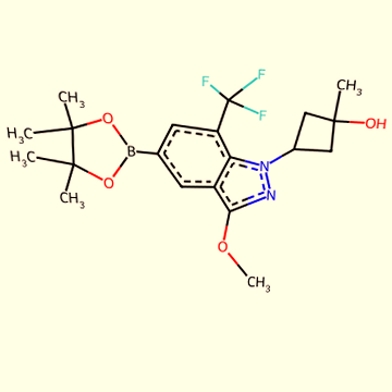 COc1nn(C2CC(C)(O)C2)c2c(C(F)(F)F)cc(B3OC(C)(C)C(C)(C)O3)cc12